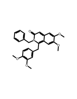 COc1ccc(Cc2c3cc(OC)c(OC)cc3cc(=O)n2Cc2ccccc2)cc1OC